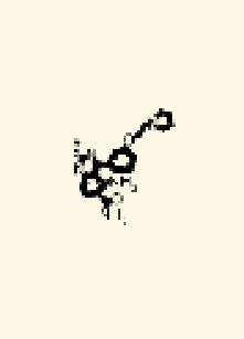 CSc1nc(-c2cccc(OCCN3CCCC3)c2)c2c(N)c(C(N)=O)ccc2n1